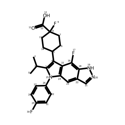 CC(C)c1c(C2CCC(F)(C(=O)O)CC2)c2c(F)c3[nH]ncc3cc2n1-c1ccc(F)cc1